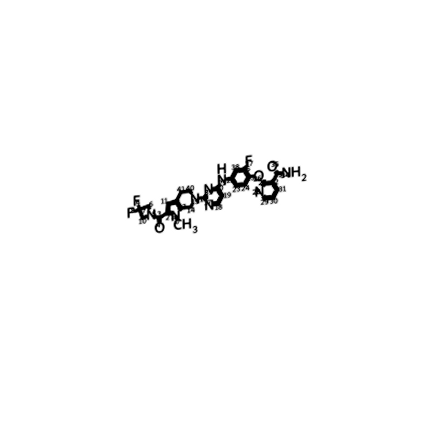 Cn1c(C(=O)N2CC(F)(F)C2)cc2c1CN(c1nccc(Nc3ccc(Oc4ncccc4C(N)=O)c(F)c3)n1)CC2